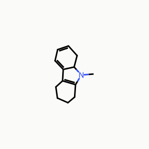 CN1C2=C(CCCC2)C2=CC=CCC21